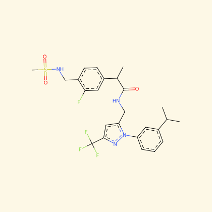 CC(C)c1cccc(-n2nc(C(F)(F)F)cc2CNC(=O)C(C)c2ccc(CNS(C)(=O)=O)c(F)c2)c1